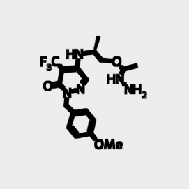 COc1ccc(Cn2ncc(N[C@@H](C)COC(C)NN)c(C(F)(F)F)c2=O)cc1